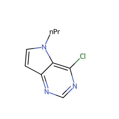 [CH2]CCn1ccc2ncnc(Cl)c21